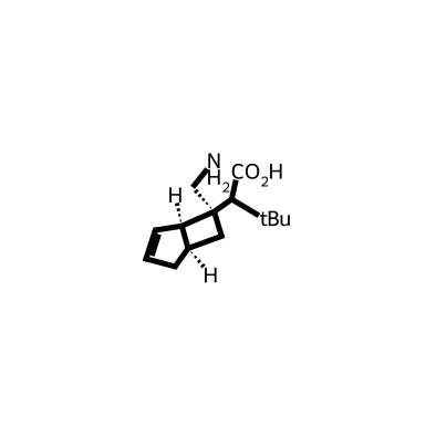 CC(C)(C)C(C(=O)O)[C@@]1(CN)C[C@H]2CC=C[C@H]21